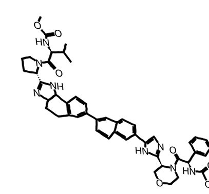 COC(=O)N[C@H](C(=O)N1CCC[C@H]1C1=NC2CCc3cc(-c4ccc5cc(-c6cnc([C@@H]7COCCN7C(=O)[C@H](NC(=O)OC)c7ccccc7)[nH]6)ccc5c4)ccc3C2N1)C(C)C